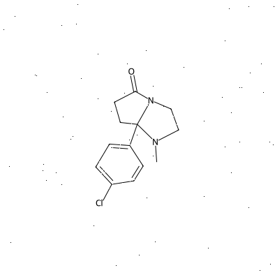 CN1CCN2C(=O)CCC12c1ccc(Cl)cc1